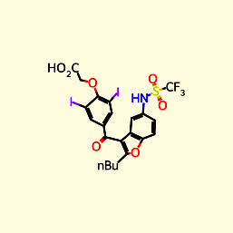 CCCCc1oc2ccc(NS(=O)(=O)C(F)(F)F)cc2c1C(=O)c1cc(I)c(OCC(=O)O)c(I)c1